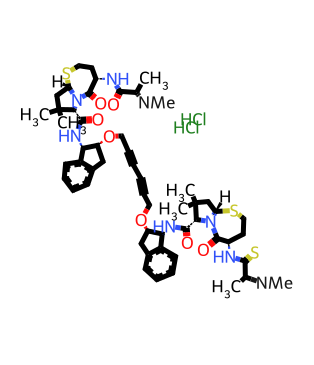 CNC(C)C(=O)N[C@H]1CCS[C@H]2CC(C)(C)[C@@H](C(=O)N[C@H]3c4ccccc4C[C@H]3OCC#CC#CCO[C@@H]3Cc4ccccc4[C@@H]3NC(=O)[C@H]3N4C(=O)[C@@H](NC(=S)C(C)NC)CCS[C@H]4CC3(C)C)N2C1=O.Cl.Cl